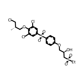 CCS(=O)(=O)C[C@H](O)COc1ccc(S(=O)(=O)c2cc(Cl)c(OC[C@H](C)CCl)c(Cl)c2)cc1